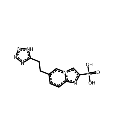 O=P(O)(O)c1cn2cc(CCc3nnn[nH]3)ccc2n1